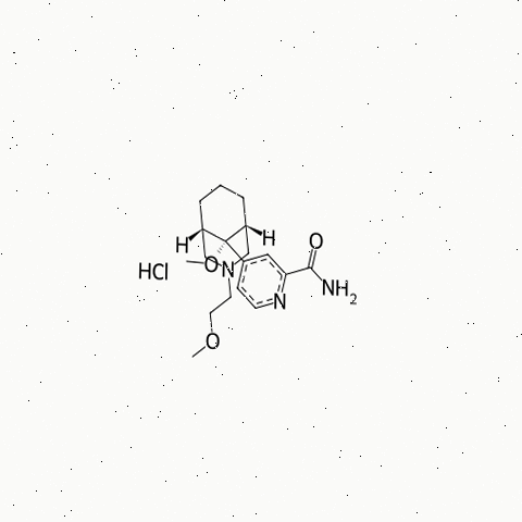 COCCN1C[C@H]2CCC[C@@H](C1)[C@]2(OC)c1ccnc(C(N)=O)c1.Cl